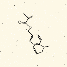 C=C(C)C(=O)OCc1ccc2c(c1)C=CCC2C